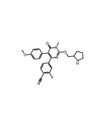 COc1ccc(-c2c(-c3ccc(C#N)c(F)c3)nc(OCC3CCCN3)n(C)c2=O)cc1